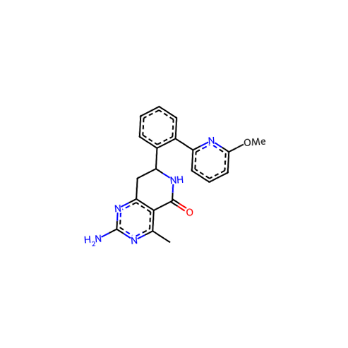 COc1cccc(-c2ccccc2C2Cc3nc(N)nc(C)c3C(=O)N2)n1